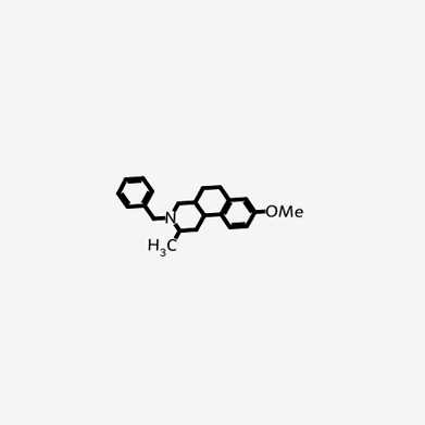 COc1ccc2c(c1)CCC1CN(Cc3ccccc3)C(C)CC21